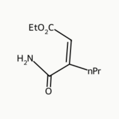 CCCC(=CC(=O)OCC)C(N)=O